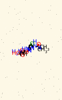 CN(C)C(=O)CNc1nc2nc(O[C@@H]3CO[C@]4(N)[C@H](O)CO[C@H]34)[nH]c2cc1Cl